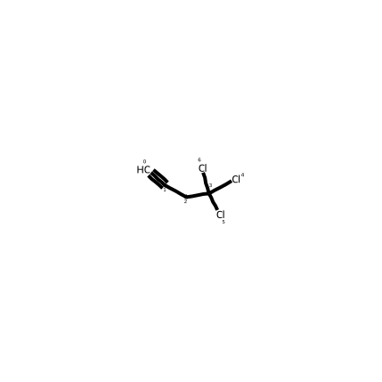 C#C[CH]C(Cl)(Cl)Cl